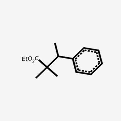 CCOC(=O)C(C)(C)C(C)c1ccccc1